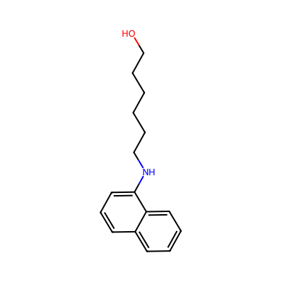 OCCCCCCNc1cccc2ccccc12